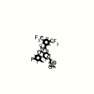 Cc1cc(F)ccc1[C@H]1CN(CCS(C)(=O)=O)CC[C@@H]1C(=O)N(C)[C@@H](C)c1cc(C(F)(F)F)cc(C(F)(F)F)c1